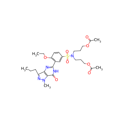 CCCc1nn(C)c2c(=O)[nH]c(-c3cc(S(=O)(=O)N(CCCOC(C)=O)CCCOC(C)=O)ccc3OCC)nc12